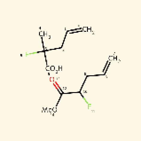 C=CCC(C)(F)C(=O)O.C=CCC(F)C(=O)OC